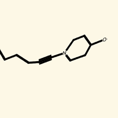 CCCCC#CN1CCC([O])CC1